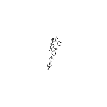 CCN1CCN(C2CCN(c3ccc(Nc4cc(N5OCC6(CC6)[C@H]5c5ccccc5)ncn4)c(OC)c3)CC2)CC1